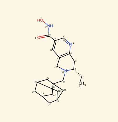 CC[C@H]1Cc2ncc(C(=O)NO)cc2CN1CC12CC3CC(CC(C3)C1)C2